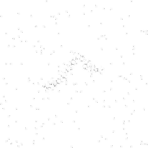 COc1ncc(-c2ccnc(N3CCn4c(cc5c4CC(C)(C)C5)C3=O)c2C(C)(C)O)cc1Nc1ccc(N2CCN(C3CCN(c4ccc5c(c4)C(=O)N([C@H]4CCC(=O)NC4=O)C5=O)[C@@H](C)C3)C[C@@H]2C)cn1